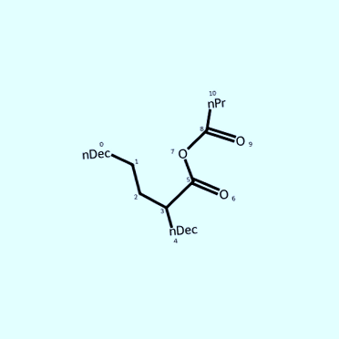 CCCCCCCCCCCCC(CCCCCCCCCC)C(=O)OC(=O)CCC